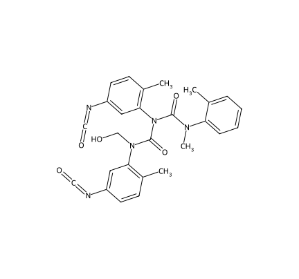 Cc1ccccc1N(C)C(=O)N(C(=O)N(CO)c1cc(N=C=O)ccc1C)c1cc(N=C=O)ccc1C